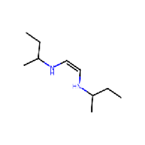 CCC(C)N/C=C\NC(C)CC